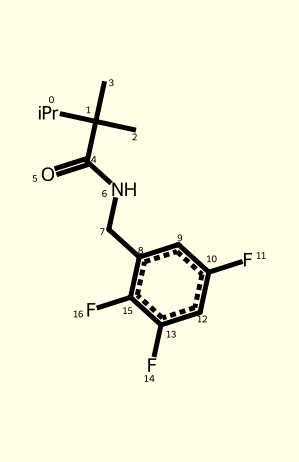 CC(C)C(C)(C)C(=O)NCc1cc(F)cc(F)c1F